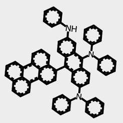 c1ccc(Nc2ccc3c(-c4ccc5c6cccc7cccc(c8cccc4c85)c76)c4cc(N(c5ccccc5)c5ccccc5)ccc4c(N(c4ccccc4)c4ccccc4)c3c2)cc1